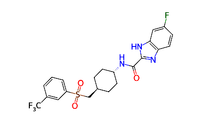 O=C(N[C@H]1CC[C@H](CS(=O)(=O)c2cccc(C(F)(F)F)c2)CC1)c1nc2ccc(F)cc2[nH]1